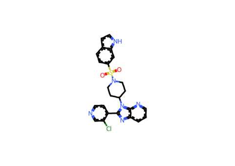 O=S(=O)(c1ccc2cc[nH]c2c1)N1CCC(n2c(-c3ccncc3Cl)nc3cccnc32)CC1